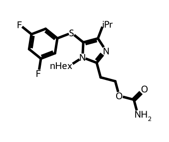 CCCCCCn1c(CCOC(N)=O)nc(C(C)C)c1Sc1cc(F)cc(F)c1